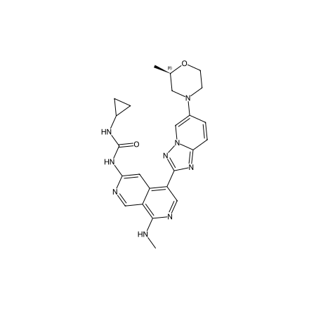 CNc1ncc(-c2nc3ccc(N4CCO[C@H](C)C4)cn3n2)c2cc(NC(=O)NC3CC3)ncc12